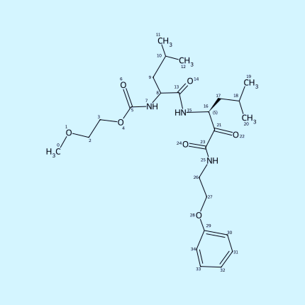 COCCOC(=O)NC(CC(C)C)C(=O)N[C@@H](CC(C)C)C(=O)C(=O)NCCOc1ccccc1